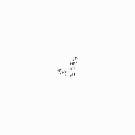 F.F.F.F.[LiH].[Zr]